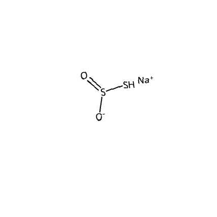 O=S([O-])S.[Na+]